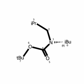 CC[C@@H](C)N(CC(C)C)C(=O)OC(C)(C)C